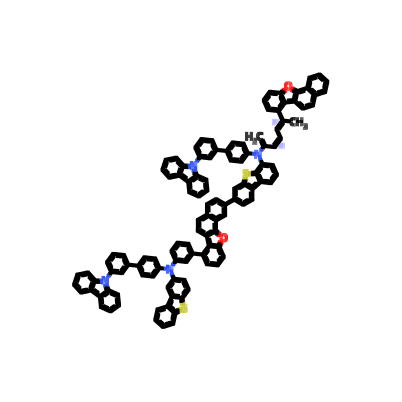 C=C(/C=C\C=C(/C)c1cccc2oc3c4ccccc4ccc3c12)N(c1ccc(-c2cccc(-n3c4ccccc4c4ccccc43)c2)cc1)c1cccc2c1sc1cc(-c3ccc4ccc5c(oc6cccc(-c7cccc(N(c8ccc(-c9cccc(-n%10c%11ccccc%11c%11ccccc%11%10)c9)cc8)c8ccc9sc%10ccccc%10c9c8)c7)c65)c4c3)ccc12